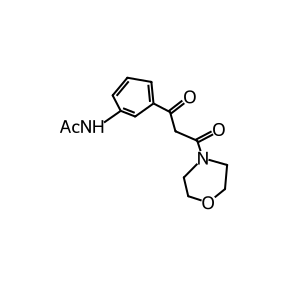 CC(=O)Nc1cccc(C(=O)CC(=O)N2CCOCC2)c1